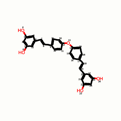 Oc1cc(O)cc(C=Cc2ccc(Oc3ccc(C=Cc4cc(O)cc(O)c4)cc3)cc2)c1